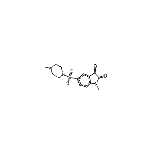 CN1CCN(S(=O)(=O)c2ccc3c(c2)C(=O)C(=O)N3C)CC1